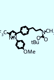 COc1ccc(-n2nc(C(F)(F)F)cc2-c2ccc(CCCN(C)C(=O)OC(C)(C)C)cc2)cc1